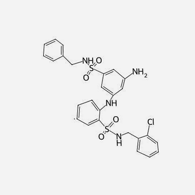 Nc1cc(Nc2cc[c]cc2S(=O)(=O)NCc2ccccc2Cl)cc(S(=O)(=O)NCc2ccccc2)c1